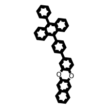 c1ccc(-c2c3ccccc3c(-c3ccc(-c4ccc5c(c4)Oc4cc6ccccc6cc4O5)cc3)c3ccccc23)cc1